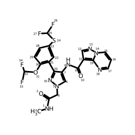 CNC(=O)Cn1cc(NC(=O)c2cnn3cccnc23)c(-c2cc(SC(F)F)ccc2OC(F)F)n1